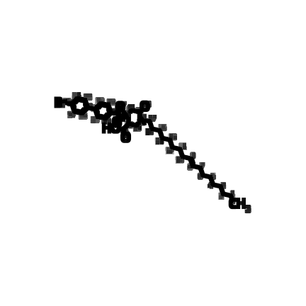 CCCCCCCCC=CCCCCCCCCN1CC(C(=O)O)N(S(=O)(=O)c2ccc(-c3ccc(Br)cc3)cc2)CC1=O